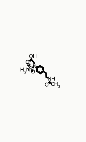 CC(=O)NCCc1ccc(N(CC(=O)O)S(N)(=O)=O)cc1